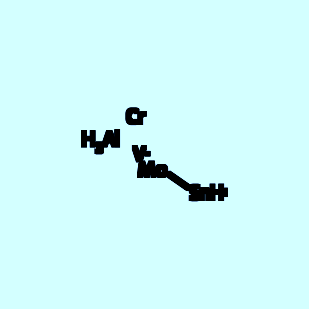 [AlH3].[Cr].[Mo][SnH].[V]